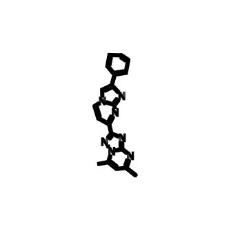 Cc1cc(C)n2nc(-c3ccn4cc(-c5ccccc5)nc4n3)nc2n1